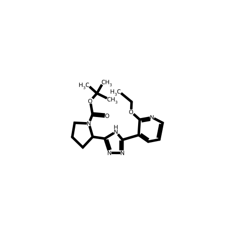 CCOc1ncccc1-c1nnc(C2CCCN2C(=O)OC(C)(C)C)[nH]1